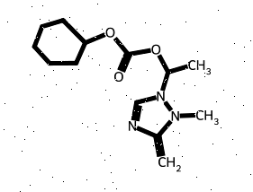 C=C1N=CN(C(C)OC(=O)OC2CCCCC2)N1C